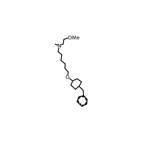 COCCN(C)CCCCCCOC1CC[C](Cc2ccccc2)CC1